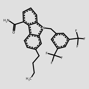 CCCCc1c[c]c2c3c(C(N)=O)cccc3n(Cc3cc(C(F)(F)F)cc(C(F)(F)F)c3)c2c1